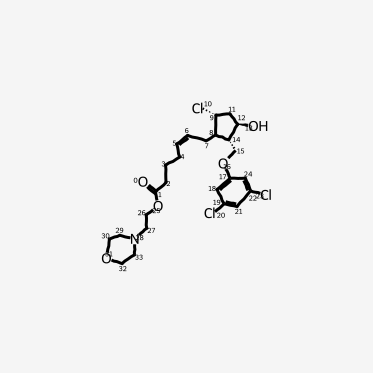 O=C(CCC/C=C\CC1[C@H](Cl)C[C@@H](O)[C@@H]1COc1cc(Cl)cc(Cl)c1)OCCN1CCOCC1